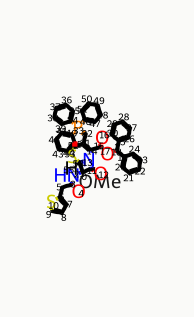 CO[C@@]1(NC(=O)Cc2cccs2)C(=O)N2C(C(=O)OC(c3ccccc3)c3ccccc3)=C(C=P(c3ccccc3)(c3ccccc3)c3ccccc3)CS[C@H]21